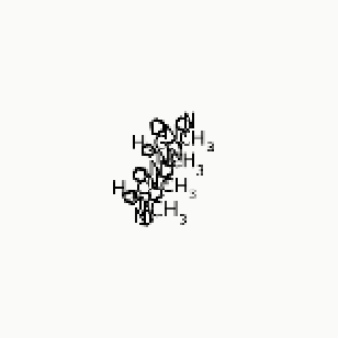 Cc1cnccc1N(c1ccccc1)c1ccnc(N(c2ccccc2)c2nc(N(c3ccccc3)c3cccc(N(c4ccccc4)c4ncccc4C)c3C)c(C)cc2C)c1C